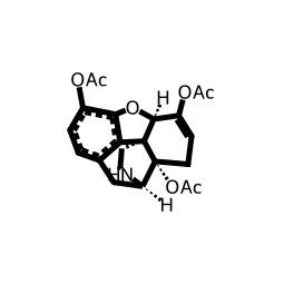 CC(=O)OC1=CC[C@@]2(OC(C)=O)[C@H]3Cc4ccc(OC(C)=O)c5c4[C@@]2(CCN3)[C@H]1O5